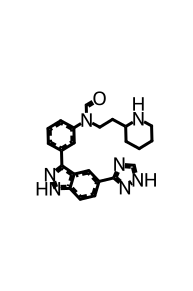 O=CN(CCC1CCCCN1)c1cccc(-c2n[nH]c3ccc(-c4nc[nH]n4)cc23)c1